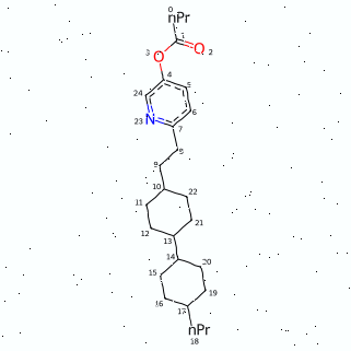 CCCC(=O)Oc1ccc(CCC2CCC(C3CCC(CCC)CC3)CC2)nc1